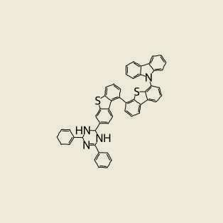 C1=CC(C2N=C(c3ccccc3)NC(c3ccc4c(c3)sc3cccc(-c5cccc6c5sc5c(-n7c8ccccc8c8ccccc87)cccc56)c34)N2)=CCC1